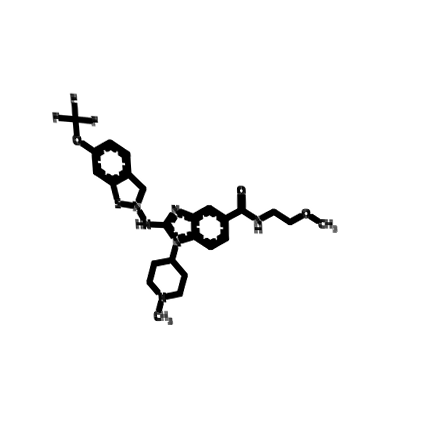 COCCNC(=O)c1ccc2c(c1)nc(NN1Cc3ccc(OC(F)(F)F)cc3S1)n2C1CCN(C)CC1